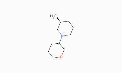 C[C@H]1CCCN(C2CCCOC2)C1